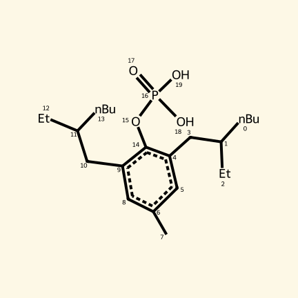 CCCCC(CC)Cc1cc(C)cc(CC(CC)CCCC)c1OP(=O)(O)O